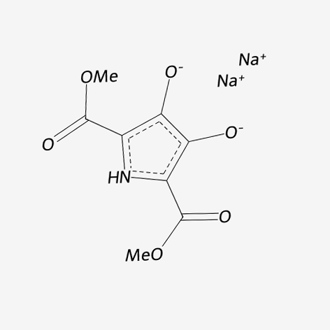 COC(=O)c1[nH]c(C(=O)OC)c([O-])c1[O-].[Na+].[Na+]